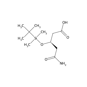 CC(C)(C)[Si](C)(C)O[C@H](CC(N)=O)CC(=O)O